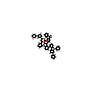 CC1(C)c2ccccc2-c2c(-c3nc(-c4cccc(-c5ccccc5)c4)nc(-c4ccccc4N4c5cccc(-c6cccc7c6c6ccc(-c8ccccc8)cc6n7-c6ccccc6)c5C5=CC=CCC54)n3)cccc21